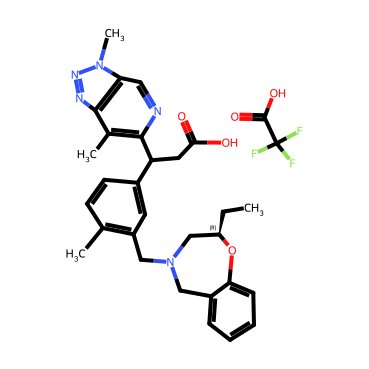 CC[C@@H]1CN(Cc2cc(C(CC(=O)O)c3ncc4c(nnn4C)c3C)ccc2C)Cc2ccccc2O1.O=C(O)C(F)(F)F